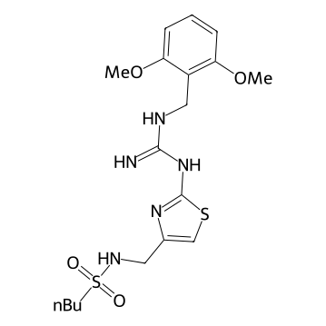 CCCCS(=O)(=O)NCc1csc(NC(=N)NCc2c(OC)cccc2OC)n1